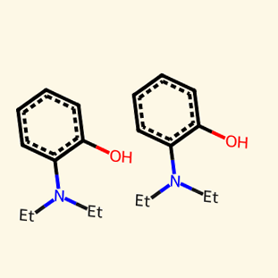 CCN(CC)c1ccccc1O.CCN(CC)c1ccccc1O